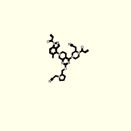 C=CC(=O)N1CCN(c2nc(OCC3CCCN3CC#N)nc3c2CCN(c2c(C)ccc4c2cnn4C(=O)C=C)C3)CC1CC#N